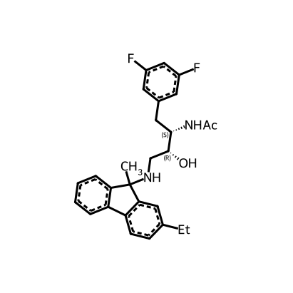 CCc1ccc2c(c1)C(C)(NC[C@@H](O)[C@H](Cc1cc(F)cc(F)c1)NC(C)=O)c1ccccc1-2